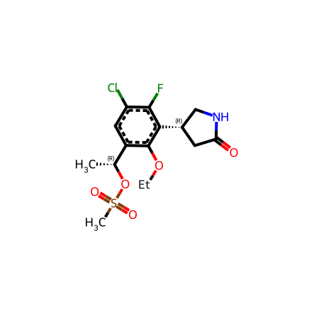 CCOc1c([C@@H](C)OS(C)(=O)=O)cc(Cl)c(F)c1[C@@H]1CNC(=O)C1